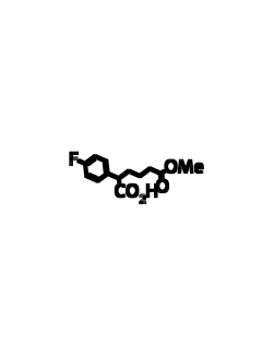 COC(=O)CCCC(C(=O)O)c1ccc(F)cc1